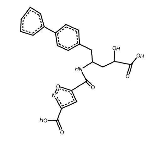 O=C(O)c1cc(C(=O)NC(Cc2ccc(-c3ccccc3)cc2)CC(O)C(=O)O)on1